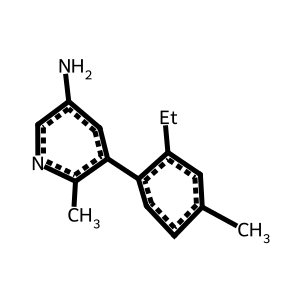 CCc1cc(C)ccc1-c1cc(N)cnc1C